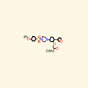 COC(=O)COc1cc(N2CCN(S(=O)(=O)c3ccc(OC(C)C)cc3)CC2)ccc1-c1ccoc1